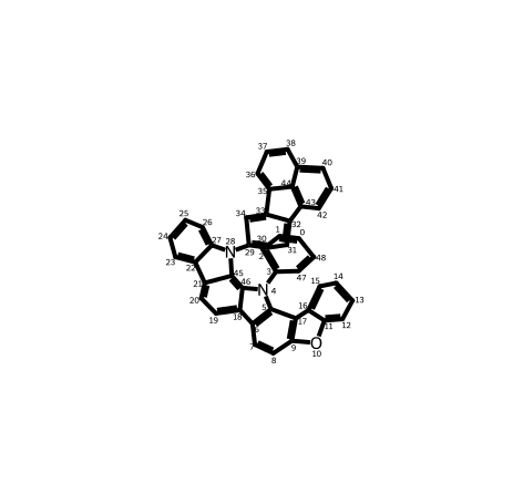 c1ccc(-n2c3c(ccc4oc5ccccc5c43)c3ccc4c5ccccc5n(-c5ccc6c(c5)-c5cccc7cccc-6c57)c4c32)cc1